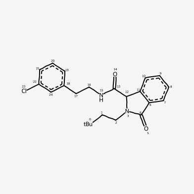 CC(C)(C)CCN1C(=O)c2ccccc2C1C(=O)NCCc1cccc(Cl)c1